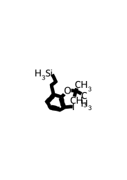 CC(C)(C)Oc1c(I)cccc1CC[SiH3]